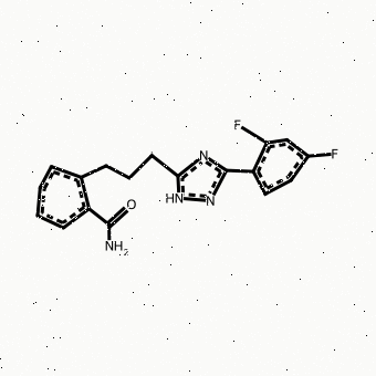 NC(=O)c1ccccc1CC[CH]c1nc(-c2ccc(F)cc2F)n[nH]1